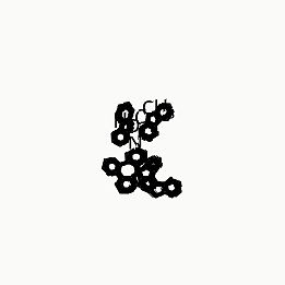 CC1(C)c2ccccc2-c2ccc(N(c3ccc4c(c3)-c3ccccc3-c3ccccc3C43c4ccccc4-c4c3ccc3c4-c4ccccc4C3)c3cccc4c3oc3ccccc34)cc21